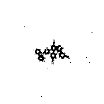 N#Cc1ccc(-c2ccc(C#N)cc2-n2c3ccccc3c3cc(C#N)ccc32)c(-c2ccc(-n3c4ccccc4c4ccccc43)cc2)c1